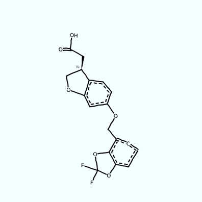 O=C(O)C[C@@H]1COc2cc(OCc3cccc4c3OC(F)(F)O4)ccc21